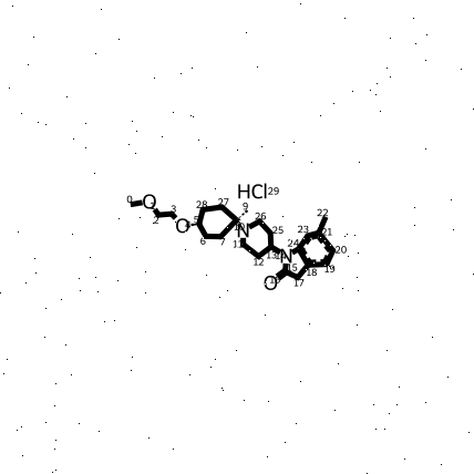 COCCO[C@H]1CC[C@](C)(N2CCC(N3C(=O)Cc4ccc(C)cc43)CC2)CC1.Cl